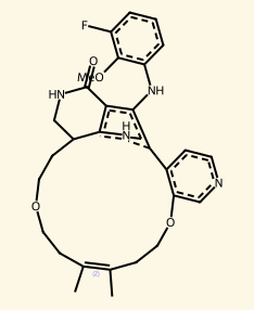 COc1c(F)cccc1Nc1c2[nH]c3c1C(=O)NCC3CCOCC/C(C)=C(/C)CCOc1cnccc1-2